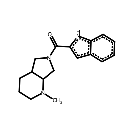 CN1CCCC2CN(C(=O)c3cc4ccccc4[nH]3)CC21